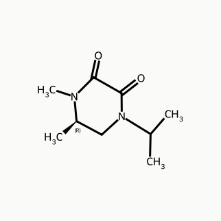 CC(C)N1C[C@@H](C)N(C)C(=O)C1=O